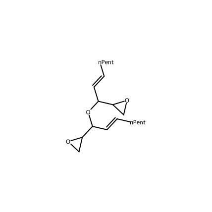 CCCCCC=CC(OC(C=CCCCCC)C1CO1)C1CO1